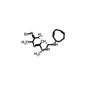 CC/N=C(/C)C(C)/N=C(\C)N(C)NCN[C@H]1/C=C\C/C=C\CC1